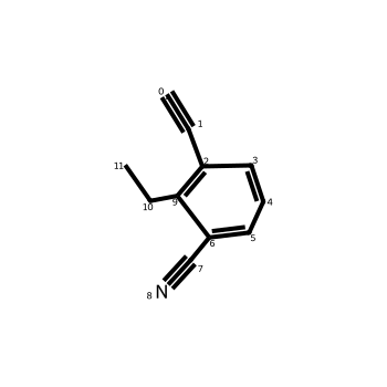 [C]#Cc1cccc(C#N)c1CC